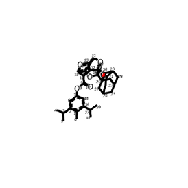 Cc1c(C(C)C)cc(OC(=O)c2c3c4oc2c(OC(=O)C25CC6CC(C2)C(=O)C(C6)C5)c4OC3=O)cc1C(C)C